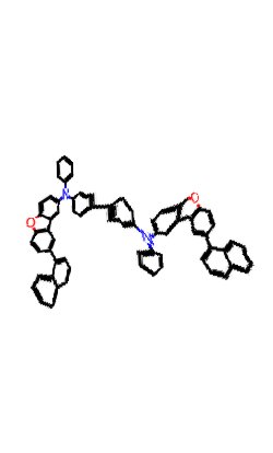 c1ccc(N(c2ccc(-c3ccc(N(c4ccccc4)c4ccc5oc6ccc(-c7cccc8ccccc78)cc6c5c4)cc3)cc2)c2ccc3oc4ccc(-c5cccc6ccccc56)cc4c3c2)cc1